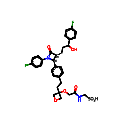 O=C(COC1(CCc2ccc([C@@H]3[C@@H](CCC(O)c4ccc(F)cc4)C(=O)N3c3ccc(F)cc3)cc2)COC1)NCS(=O)(=O)O